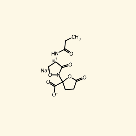 CCC(=O)N[C@H]1CON(C2(C(=O)[O-])CCC(=O)O2)C1=O.[Na+]